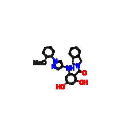 COc1ccccc1-n1cc(Nc2cc(O)cc(O)c2C(=O)N2Cc3ccccc3C2)cn1